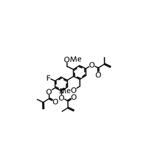 C=C(C)C(=O)Oc1cc(COC)c(-c2cc(F)c(OC(=O)C(=C)C)c(OC(=O)C(=C)C)c2)c(COC)c1